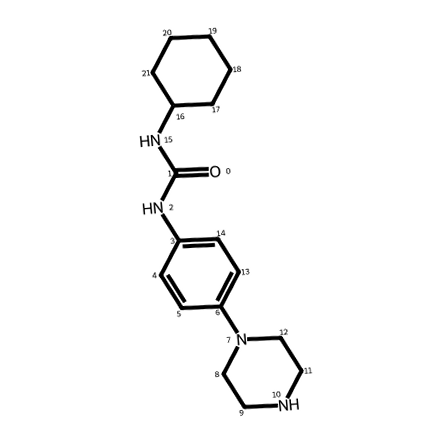 O=C(Nc1ccc(N2CCNCC2)cc1)NC1CCCCC1